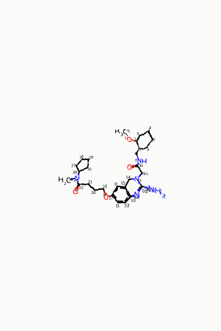 COC1CCCCC1CNC(=O)CN1Cc2cc(OCCCC(=O)N(C)C3CCCC3)ccc2N=C1N